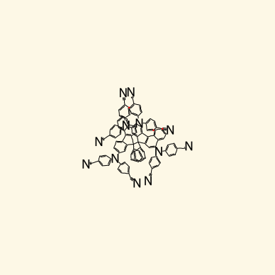 N#Cc1ccc(N(c2ccc(C#N)cc2)c2ccc3c(c2)C(c2ccccc2)(C2(c4ccccc4)c4cc(N(c5ccc(C#N)cc5)c5ccc(C#N)cc5)ccc4-c4c2cc(N(c2ccc(C#N)cc2)c2ccc(C#N)cc2)c2ccccc42)c2cc(N(c4ccc(C#N)cc4)c4ccc(C#N)cc4)c4ccccc4c2-3)cc1